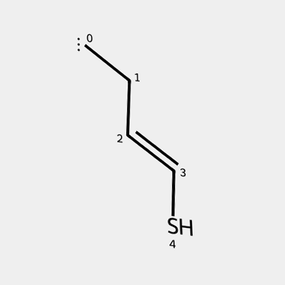 [C]CC=CS